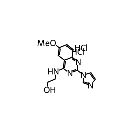 COc1ccc2nc(-n3ccnc3)nc(NCCO)c2c1.Cl.Cl